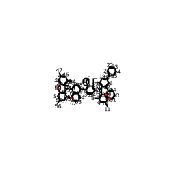 COc1cc(N(c2c(C)cc(C)cc2C)c2c(F)cc(-c3ccccc3)cc2-c2ccccc2)ccc1-c1ccc(B(c2c(C)cc(C)cc2C)c2c(C)cc(C)cc2C)c2ccccc12